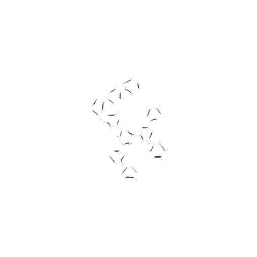 c1ccc(-c2ccc(-c3cccc4oc5cc(-c6nc(-c7cccc(-c8ccccc8)c7)nc(-c7cc(-c8ccccc8)cc(-c8ccccc8)c7)n6)ccc5c34)cc2)cc1